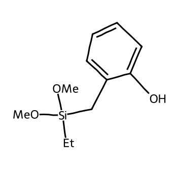 CC[Si](Cc1ccccc1O)(OC)OC